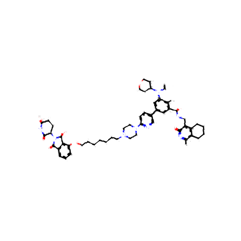 CCN(c1cc(-c2ccc(N3CCN(CCCCCCCOc4cccc5c4C(=O)N(C4CCC(=O)NC4=O)C5=O)CC3)nc2)cc(C(=O)NCc2c3c(c(C)[nH]c2=O)CCCC3)c1C)C1CCOCC1